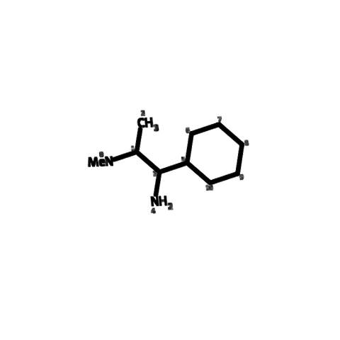 CNC(C)C(N)C1CCCCC1